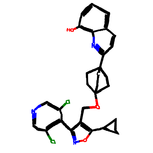 Oc1cccc2ccc(C34CCC(OCc5c(-c6c(Cl)cncc6Cl)noc5C5CC5)(CC3)CC4)nc12